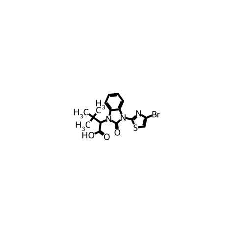 CC(C)(C)C(C(=O)O)n1c(=O)n(-c2nc(Br)cs2)c2ccccc21